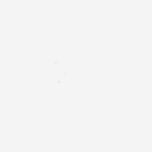 Sn1ncc2ccccc21